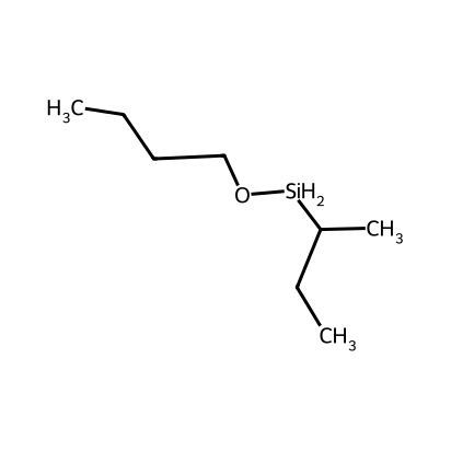 CCCCO[SiH2]C(C)CC